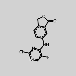 O=C1OCc2ccc(Nc3nc(Cl)ncc3F)cc21